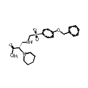 O=C(O)[C@H](CNCS(=O)(=O)c1ccc(OCc2ccccc2)cc1)N1CCCCC1